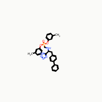 Cc1cccc(OP(=O)(CNC(Cc2ccc(-c3ccccc3)cc2)c2nnn[nH]2)Oc2cccc(C)c2)c1